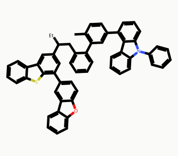 CCC(Cc1ccccc1-c1cc(-c2cccc3c2c2ccccc2n3-c2ccccc2)ccc1C)c1cc(-c2ccc3oc4ccccc4c3c2)c2sc3ccccc3c2c1